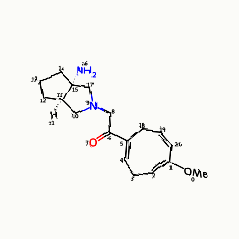 COC1=C/C/C=C(/C(=O)CN2C[C@H]3CCC[C@@]3(N)C2)C/C=C\1